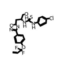 C=CC(F)(F)Oc1ccc(-c2noc(CC(CO)NC(=S)Nc3ccc(Cl)cc3)n2)cc1